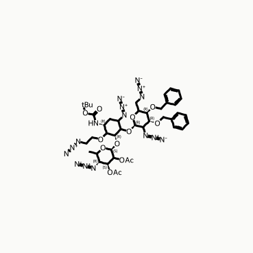 CC(=O)OC1[C@H](O[C@H]2C(O[C@H]3OC(CN=[N+]=[N-])[C@@H](OCc4ccccc4)[C@H](OCc4ccccc4)C3N=[N+]=[N-])C(N=[N+]=[N-])C[C@@H](NC(=O)OC(C)(C)C)C2OCCN=[N+]=[N-])OC(C)[C@@H](N=[N+]=[N-])[C@@H]1OC(C)=O